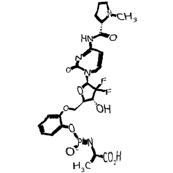 C[C@@H](/N=[P+](\[O-])Oc1ccccc1OC[C@H]1O[C@@H](n2ccc(NC(=O)[C@@H]3CCCN3C)nc2=O)C(F)(F)[C@@H]1O)C(=O)O